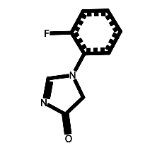 O=C1CN(c2ccccc2F)C=N1